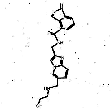 O=C(NCc1cn2cc(CNCCO)ccc2n1)c1cccc2[nH]ncc12